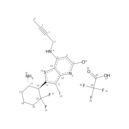 CC#CCNc1cc(Cl)nc2c(I)c([C@@H]3[C@@H](N)CCCC3(F)F)sc12.O=C(O)C(F)(F)F